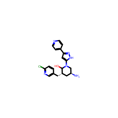 N[C@H]1C[C@H](Cc2ccc(Cl)nc2)C(O)N(c2cc(-c3ccncc3)n[nH]2)C1